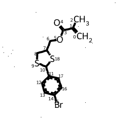 C=C(C)C(=O)OCC1CSC(c2ccc(Br)cc2)S1